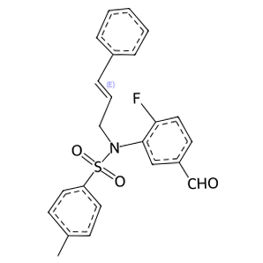 Cc1ccc(S(=O)(=O)N(C/C=C/c2ccccc2)c2cc(C=O)ccc2F)cc1